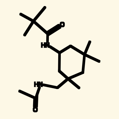 CC(=O)NCC1(C)CC(NC(=O)C(C)(C)C)CC(C)(C)C1